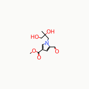 COC(=O)c1cc(C=O)n(CC(C)(O)CO)c1